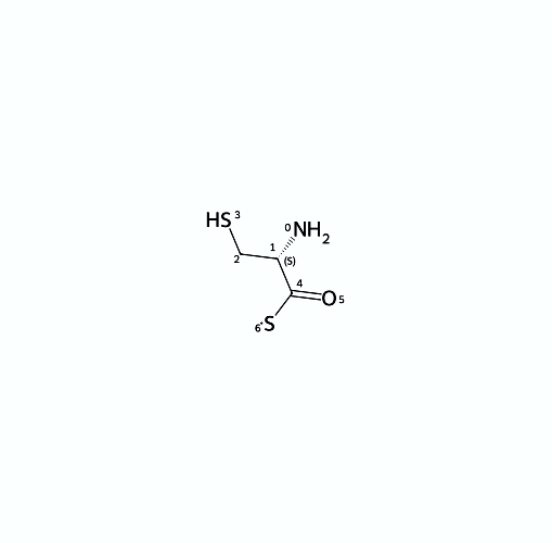 N[C@@H](CS)C(=O)[S]